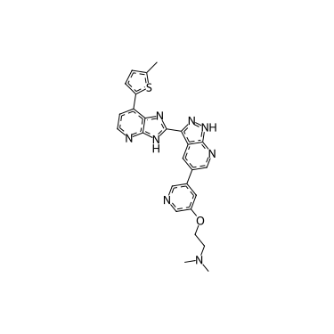 Cc1ccc(-c2ccnc3[nH]c(-c4n[nH]c5ncc(-c6cncc(OCCN(C)C)c6)cc45)nc23)s1